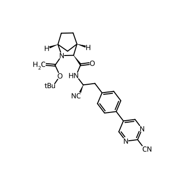 C=C(OC(C)(C)C)N1[C@@H]2CC[C@@H](C2)[C@H]1C(=O)N[C@H](C#N)Cc1ccc(-c2cnc(C#N)nc2)cc1